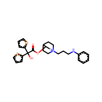 O=C(OC1C[N+]2(CCCNc3ccccc3)CCC1CC2)C(O)(c1cccs1)c1cccs1